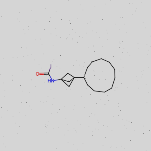 O=C(I)NC12CC(C3CCCCCCCCCC3)(C1)C2